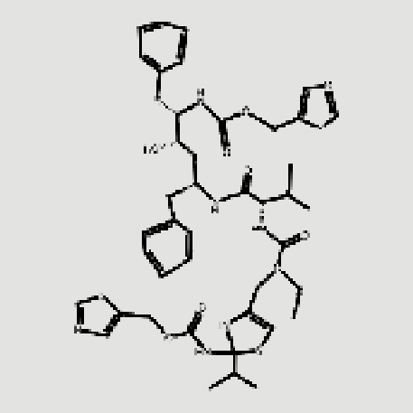 CCN(CC1=CSC(NC(=O)OCc2cncs2)(C(C)C)N1)C(=O)N[C@H](C(=O)N[C@@H](Cc1ccccc1)C[C@H](O)[C@H](Cc1ccccc1)NC(=O)OCc1cncs1)C(C)C